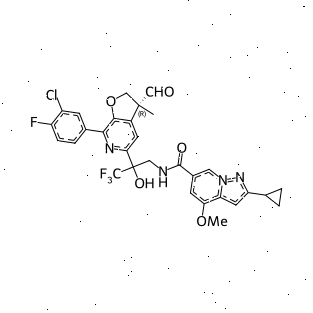 COc1cc(C(=O)NCC(O)(c2cc3c(c(-c4ccc(F)c(Cl)c4)n2)OC[C@]3(C)C=O)C(F)(F)F)cn2nc(C3CC3)cc12